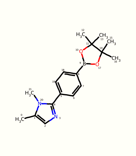 Cc1cnc(-c2ccc(B3OC(C)(C)C(C)(C)O3)cc2)n1C